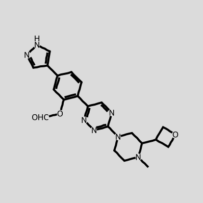 CN1CCN(c2ncc(-c3ccc(-c4cn[nH]c4)cc3OC=O)nn2)CC1C1COC1